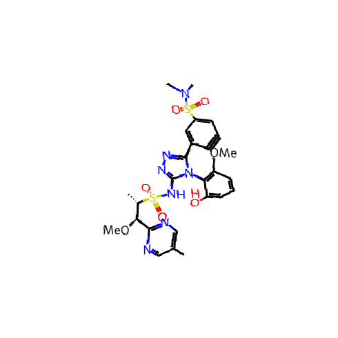 COc1cccc(O)c1-n1c(NS(=O)(=O)[C@@H](C)[C@H](OC)c2ncc(C)cn2)nnc1-c1c#ccc(S(=O)(=O)N(C)C)c1